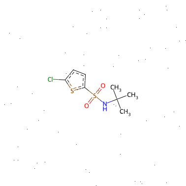 CC(C)(C)NS(=O)(=O)c1ccc(Cl)s1